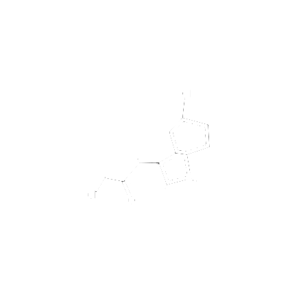 Cc1ccc2scc(CC(=O)CCl)c2c1